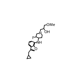 COCC(O)CN1CCC(Nc2cccc3c(CC4CC4)coc23)C(F)C1